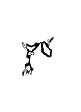 CSc1cccc(-c2ccnc3cc(-c4cnn(C)c4)oc23)c1